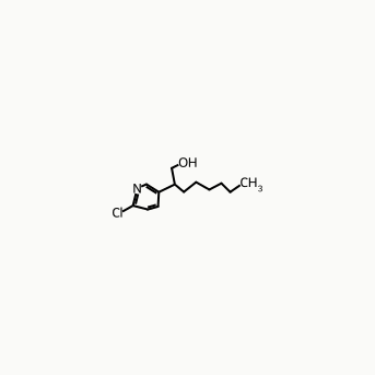 CCCCCCC(CO)c1ccc(Cl)nc1